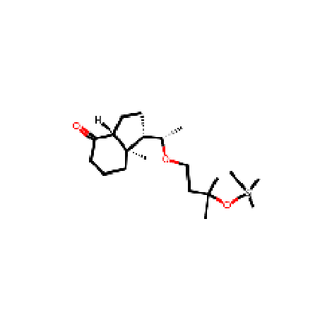 C[C@H](OCCC(C)(C)O[Si](C)(C)C)[C@H]1CC[C@H]2C(=O)CCC[C@]12C